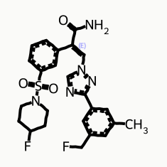 Cc1cc(CF)cc(-c2ncn(/C=C(/C(N)=O)c3cccc(S(=O)(=O)N4CCC(F)CC4)c3)n2)c1